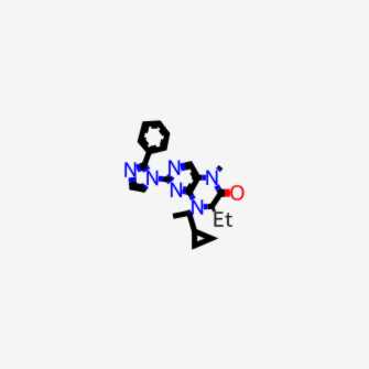 CC[C@@H]1C(=O)N(C)c2cnc(-n3ccnc3-c3ccccc3)nc2N1C(C)C1CC1